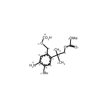 COC(=O)OCC(C)(C)c1cc(C(C)(C)C)c(N)cc1COC(=O)O